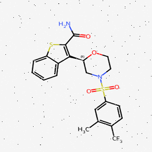 Cc1cc(S(=O)(=O)N2CCO[C@H](c3c(C(N)=O)sc4ccccc34)C2)ccc1C(F)(F)F